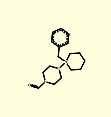 O=[C]N1CCN([N+]2(Cc3ccccc3)CCCCC2)CC1